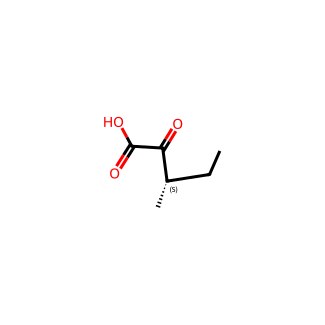 CC[C@H](C)C(=O)C(=O)O